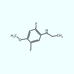 CCNc1cc(F)c(OC)cc1F